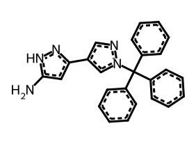 Nc1cc(-c2cnn(C(c3ccccc3)(c3ccccc3)c3ccccc3)c2)n[nH]1